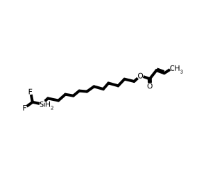 CC=CC(=O)OCCCCCCCCCCCC[SiH2]C(F)F